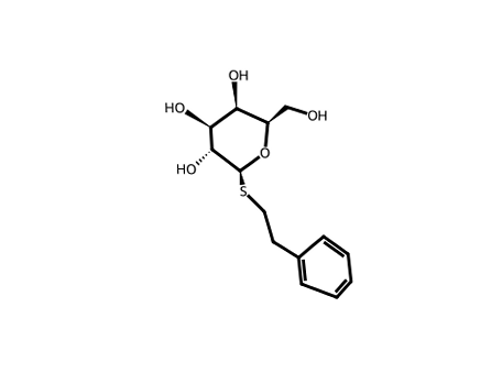 OC[C@H]1O[C@@H](SCCc2ccccc2)[C@H](O)[C@@H](O)[C@H]1O